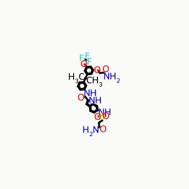 CC(C)(c1cccc(NC(=O)c2cc3ccc(NS(=O)(=O)CCC(N)=O)cc3[nH]2)c1)c1cc(OCC(N)=O)cc(OC(F)(F)F)c1